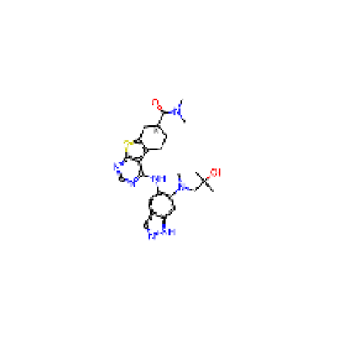 CN(C)C(=O)[C@H]1CCc2c(sc3ncnc(Nc4cc5cn[nH]c5cc4N(C)CC(C)(C)O)c23)C1